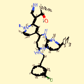 CNC(=O)/C(C=N)=C1C=C(/C(=C/C(=N)NCc2cccc(Cl)c2)Nc2cccc(C)n2)C=CN\1